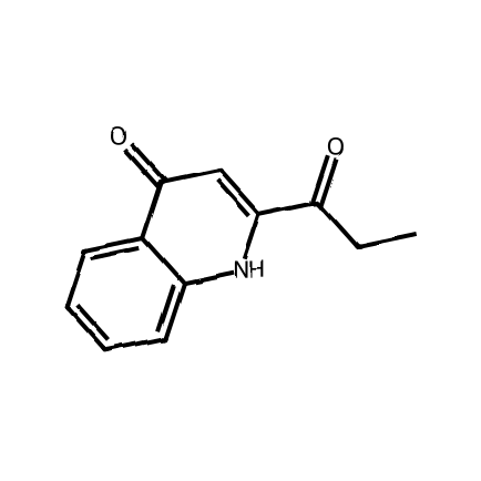 CCC(=O)c1cc(=O)c2ccccc2[nH]1